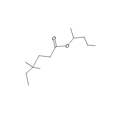 CCCC(C)OC(=O)CCC(C)(C)CC